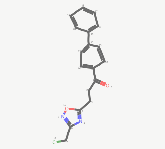 O=C(CCc1nc(CCl)no1)c1ccc(-c2ccccc2)cc1